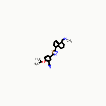 C/N=C\C1CCCc2c(-c3nnc(-c4ccc(OC(C)C)c(C#N)c4)s3)cccc21